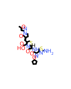 Cc1cc(N2CCC(=CC3=C(C(=O)O)N4C(=O)[C@@H](NC(=O)/C(=N\OC5CCCC5)c5csc(N)n5)[C@H]4SC3)C2=O)no1